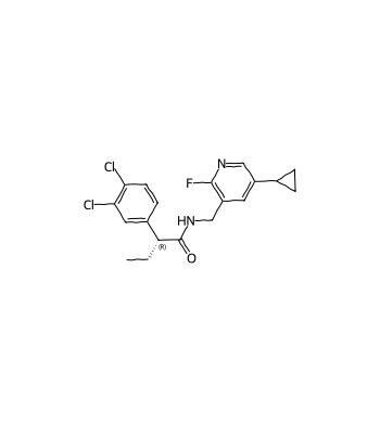 CC[C@@H](C(=O)NCc1cc(C2CC2)cnc1F)c1ccc(Cl)c(Cl)c1